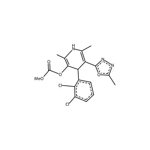 COC(=O)OC1=C(C)NC(C)=C(c2nnc(C)o2)C1c1cccc(Cl)c1Cl